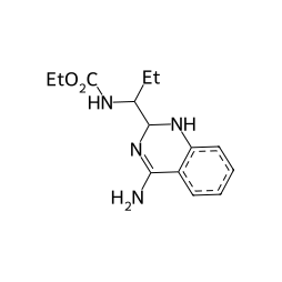 CCOC(=O)NC(CC)C1N=C(N)c2ccccc2N1